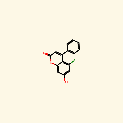 O=c1cc(-c2ccccc2)c2c(F)cc(O)cc2o1